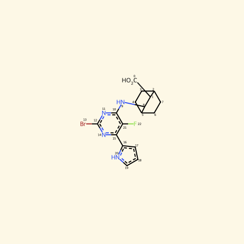 O=C(O)C1C2CCC(CC2)C1Nc1nc(Br)nc(-c2ccc[nH]2)c1F